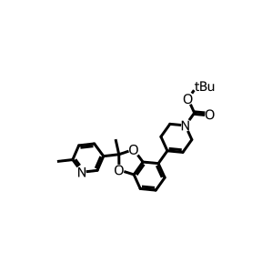 Cc1ccc(C2(C)Oc3cccc(C4=CCN(C(=O)OC(C)(C)C)CC4)c3O2)cn1